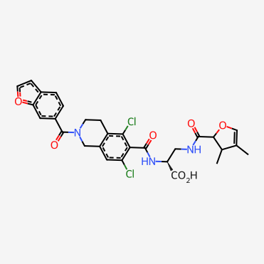 CC1=COC(C(=O)NC[C@H](NC(=O)c2c(Cl)cc3c(c2Cl)CCN(C(=O)c2ccc4ccoc4c2)C3)C(=O)O)C1C